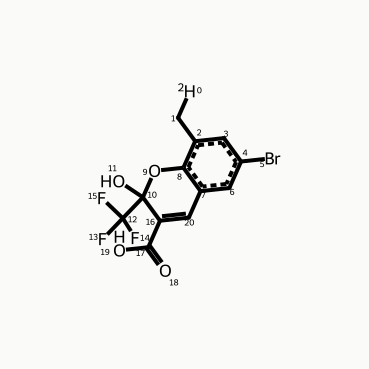 [2H]Cc1cc(Br)cc2c1OC(O)(C(F)(F)F)C(C(=O)O)=C2